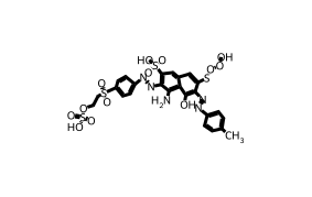 Cc1ccc(N=Nc2c(SOOO)cc3cc(S(=O)(=O)O)c(N=Nc4ccc(S(=O)(=O)CCOS(=O)(=O)O)cc4)c(N)c3c2O)cc1